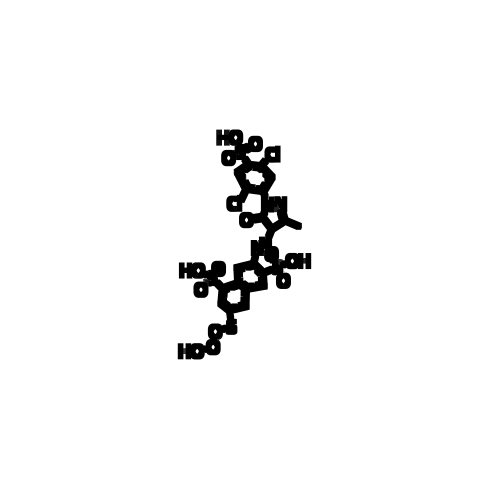 CC1=NN(c2cc(Cl)c(S(=O)(=O)O)cc2Cl)C(=O)C1N=Nc1cc2c(S(=O)(=O)O)cc(SOOO)cc2cc1S(=O)(=O)O